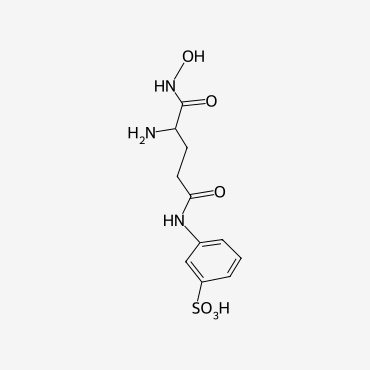 NC(CCC(=O)Nc1cccc(S(=O)(=O)O)c1)C(=O)NO